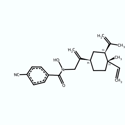 C=C[C@]1(C)CC[C@@H](C(=C)CN(O)C(=O)c2ccc(C#N)cc2)C[C@H]1C(=C)C